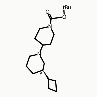 CC(C)(C)OC(=O)N1CCC(N2CCC[C@H](C3CCC3)C2)CC1